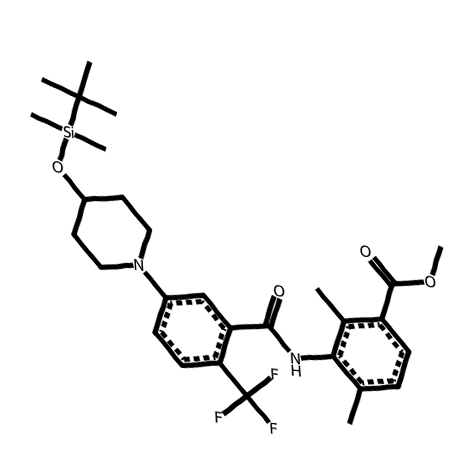 COC(=O)c1ccc(C)c(NC(=O)c2cc(N3CCC(O[Si](C)(C)C(C)(C)C)CC3)ccc2C(F)(F)F)c1C